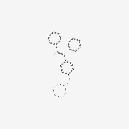 CCC(=C(c1ccccc1)c1ccc(O[C@@H]2CCCC[C@H]2O)cc1)c1ccccc1